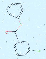 O=C(Oc1ccccc1)c1cccc(F)c1